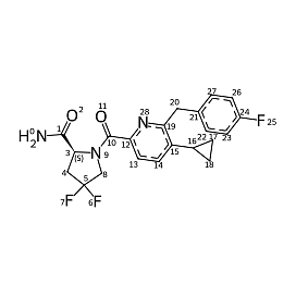 NC(=O)[C@@H]1CC(F)(F)CN1C(=O)c1ccc(C2CC2)c(Cc2ccc(F)cc2)n1